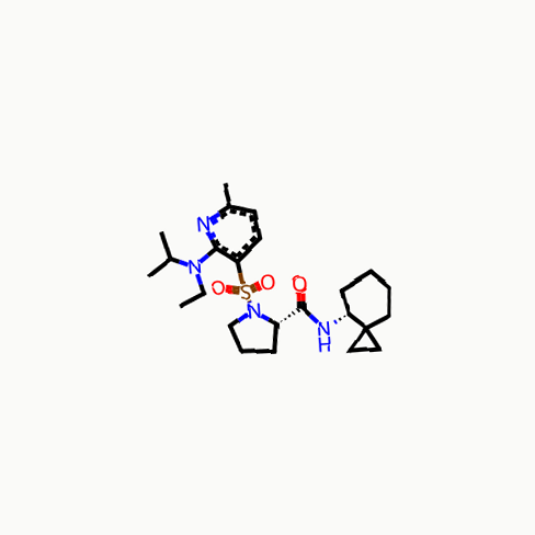 CCN(c1nc(C)ccc1S(=O)(=O)N1CCC[C@H]1C(=O)N[C@@H]1CCCCC12CC2)C(C)C